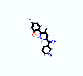 Cc1cc(C(=N)C2CCCN(C)C2)nnc1-c1ccc(C(F)(F)F)cc1O